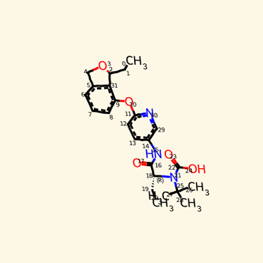 CCC1OCc2cccc(Oc3ccc(NC(=O)[C@@H](CC)N(C(=O)O)C(C)(C)C)cn3)c21